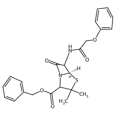 CC1(C)S[C@@H]2C(NC(=O)COc3ccccc3)C(=O)N2C1C(=O)OCc1ccccc1